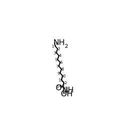 NCCCCCCCCCCCCC(=O)NO